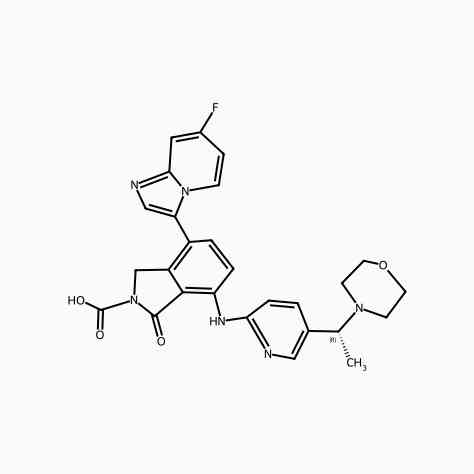 C[C@H](c1ccc(Nc2ccc(-c3cnc4cc(F)ccn34)c3c2C(=O)N(C(=O)O)C3)nc1)N1CCOCC1